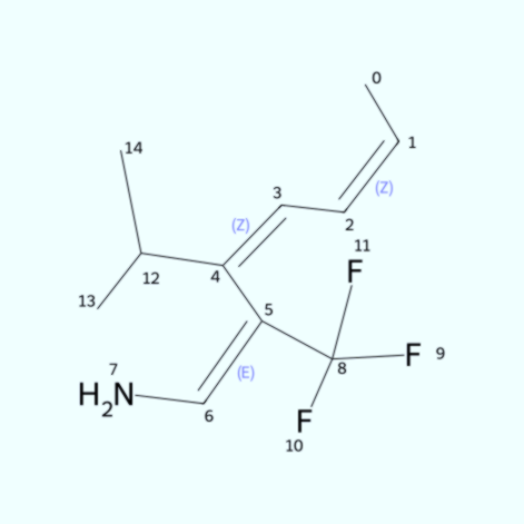 C\C=C/C=C(\C(=C/N)C(F)(F)F)C(C)C